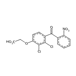 O=C(O)COc1ccc(C(=O)c2ccccc2[N+](=O)[O-])c(Cl)c1Cl